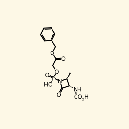 C[C@H]1[C@H](NC(=O)O)C(=O)N1P(=O)(O)OCC(=O)OCc1ccccc1